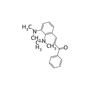 CN(C)c1cccc(C=CC(=O)c2ccccc2)c1N(C)C